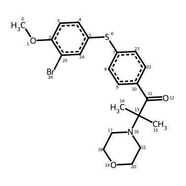 COc1ccc(Sc2ccc(C(=O)C(C)(C)N3CCOCC3)cc2)cc1Br